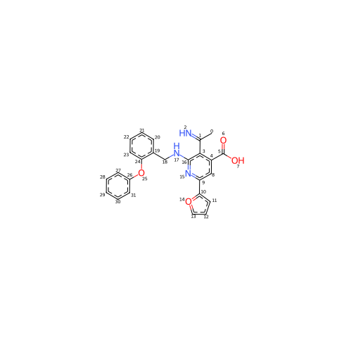 CC(=N)c1c(C(=O)O)cc(-c2ccco2)nc1NCc1ccccc1Oc1ccccc1